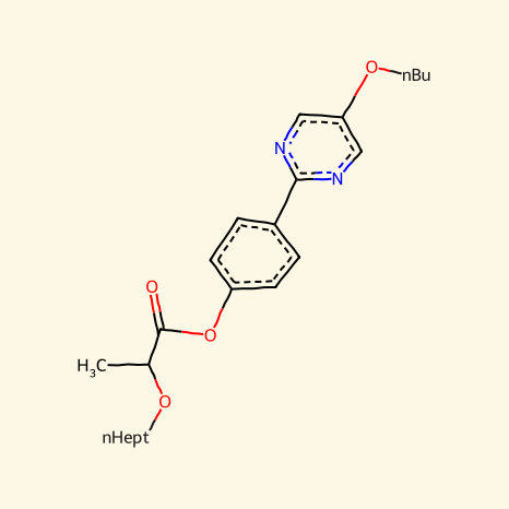 CCCCCCCOC(C)C(=O)Oc1ccc(-c2ncc(OCCCC)cn2)cc1